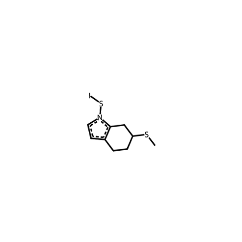 CSC1CCc2ccn(SI)c2C1